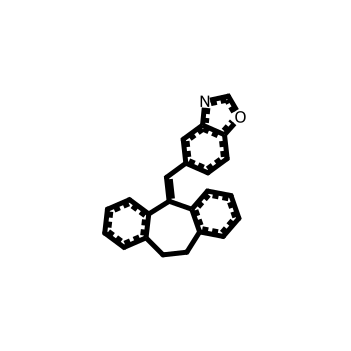 C(=C1c2ccccc2CCc2ccccc21)c1ccc2ocnc2c1